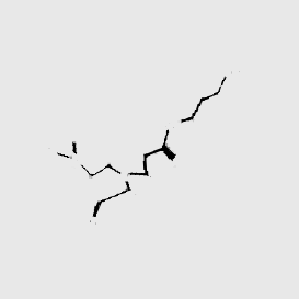 CCCCCCCCCCCCCOC(=O)CCN(CCN)CCN(CC)CC